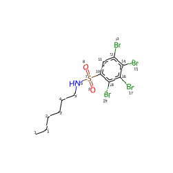 CCCCCCNS(=O)(=O)c1cc(Br)c(Br)c(Br)c1Br